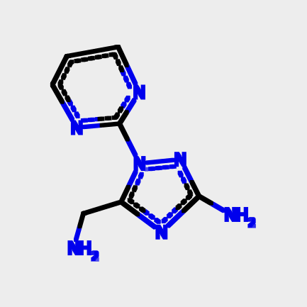 NCc1nc(N)nn1-c1ncccn1